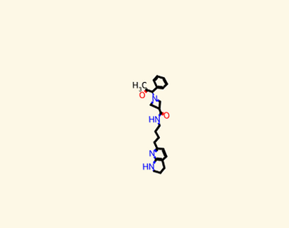 CC(=O)[C@@H](c1ccccc1)N1CC(C(=O)NCCCCc2ccc3c(n2)NCCC3)C1